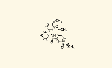 CCOc1cc([C@H]2CSCC[C@H]2NC(=O)c2cccc(C(=O)OC)c2)ccc1OC